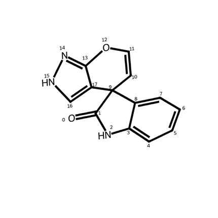 O=C1Nc2ccccc2C12C=COc1n[nH]cc12